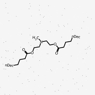 CCCCCCCCCCCCCC(=O)OCCN(C)CCOC(=O)CCCCCCCCCCCCC